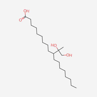 CCCCCCCCC(CCCCCCCCC(=O)O)C(C)(O)CO